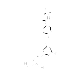 CC1(C)OB(c2cc(F)cc(OCc3ccc(C(=O)NS(C)(=O)=O)cc3)c2)OC1(C)C